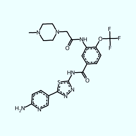 CN1CCN(CC(=O)Nc2cc(C(=O)Nc3nnc(-c4ccc(N)nc4)s3)ccc2OC(F)(F)F)CC1